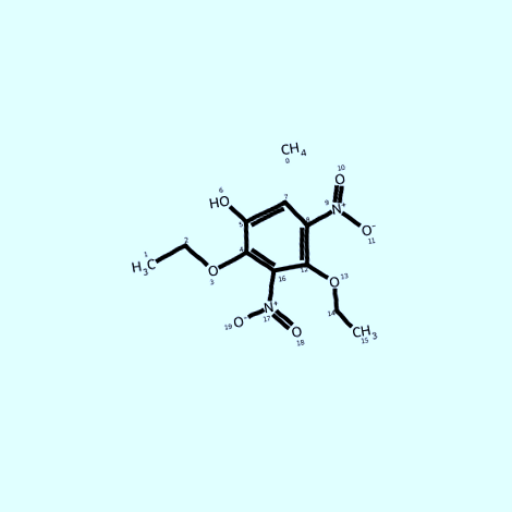 C.CCOc1c(O)cc([N+](=O)[O-])c(OCC)c1[N+](=O)[O-]